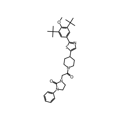 COc1c(C(C)(C)C)cc(-c2ncc(C3CCN(C(=O)CN4CCN(c5ccccc5)C4=O)CC3)s2)cc1C(C)(C)C